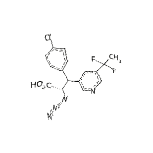 CC(F)(F)c1cncc([C@H](c2ccc(Cl)cc2)[C@H](N=[N+]=[N-])C(=O)O)c1